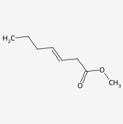 [CH2]CC/C=C/CC(=O)OC